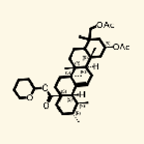 CC(=O)OCC1(C)C[C@@H](OC(C)=O)C[C@@]2(C)C1CC[C@]1(C)[C@@H]2CC=C2[C@@H]3[C@@H](C)[C@H](C)CC[C@]3(C(=O)OC3CCCCO3)CC[C@]21C